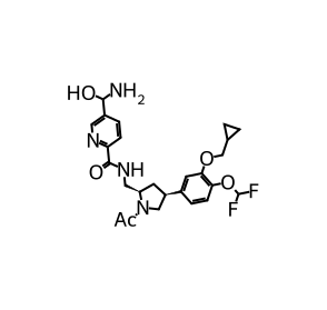 CC(=O)N1C[C@H](c2ccc(OC(F)F)c(OCC3CC3)c2)C[C@@H]1CNC(=O)c1ccc(C(N)O)cn1